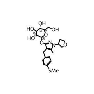 CSc1ccc(Cc2c(O[C@@H]3O[C@H](CO)[C@@H](O)[C@H](O)[C@H]3O)nn(C3CCOC3)c2C)cc1